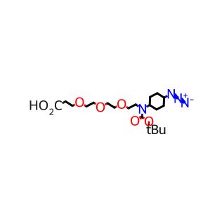 CC(C)(C)OC(=O)N(CCOCCOCCOCCC(=O)O)C1CCC(N=[N+]=[N-])CC1